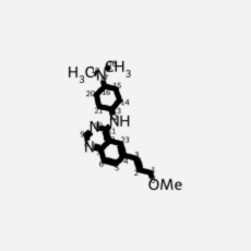 COCC=Cc1ccc2ncnc(NC3CCC(N(C)C)CC3)c2c1